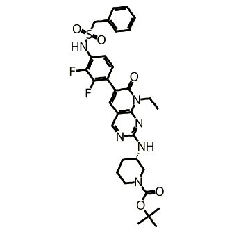 CCn1c(=O)c(-c2ccc(NS(=O)(=O)Cc3ccccc3)c(F)c2F)cc2cnc(N[C@H]3CCCN(C(=O)OC(C)(C)C)C3)nc21